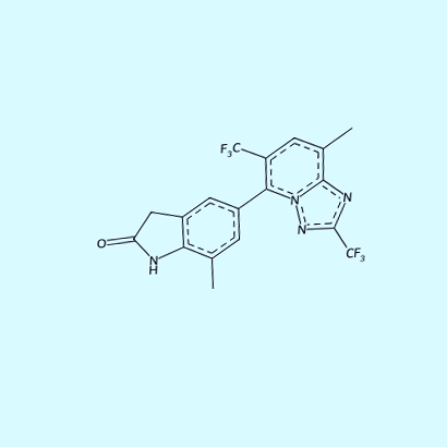 Cc1cc(-c2c(C(F)(F)F)cc(C)c3nc(C(F)(F)F)nn23)cc2c1NC(=O)C2